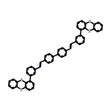 C(=C\c1cccc(-c2cccc3c2Sc2ccccc2S3)c1)/c1ccc(-c2ccc(/C=C/c3cccc(-c4cccc5c4Sc4ccccc4S5)c3)cc2)cc1